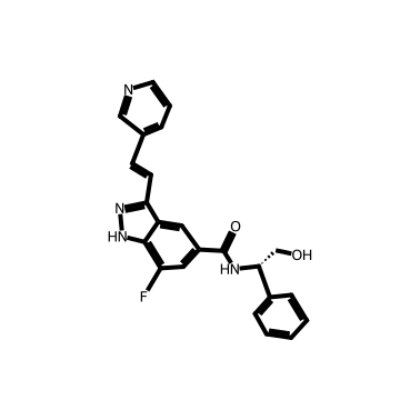 O=C(N[C@H](CO)c1ccccc1)c1cc(F)c2[nH]nc(/C=C/c3cccnc3)c2c1